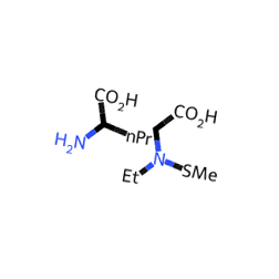 CCCC(N)C(=O)O.CCN(CC(=O)O)SC